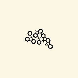 CC1(C)c2c(cccc2N(c2ccccc2)c2cc(C3(c4ccccc4)c4ccccc4-c4ccccc43)cc3sc4ccccc4c23)-c2ccc3c(oc4ccccc43)c21